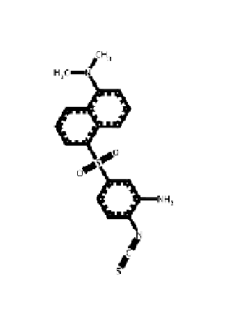 CN(C)c1cccc2c(S(=O)(=O)c3ccc(N=C=S)c(N)c3)cccc12